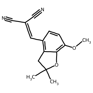 COc1ccc(C=C(C#N)C#N)c2c1OC(C)(C)C2